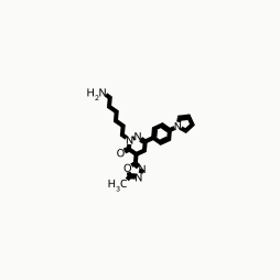 Cc1nnc(C2CC(c3ccc(N4C=CCC4)cc3)=NN(CCCCCCN)C2=O)o1